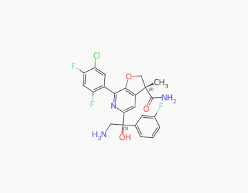 C[C@]1(C(N)=O)COc2c1cc([C@@](O)(CN)c1cccc(F)c1)nc2-c1cc(Cl)c(F)cc1F